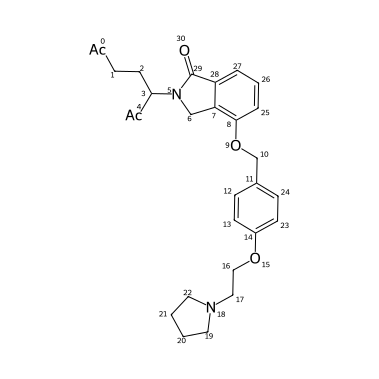 CC(=O)CCC(C(C)=O)N1Cc2c(OCc3ccc(OCCN4CCCC4)cc3)cccc2C1=O